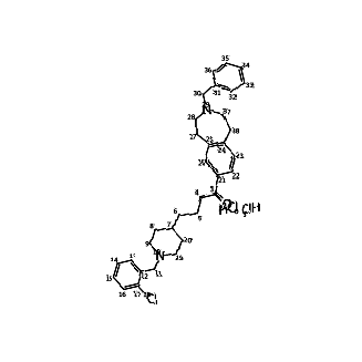 Cl.Cl.O=C(CCCC1CCN(Cc2ccccc2Cl)CC1)c1ccc2c(c1)CCN(Cc1ccccc1)CC2